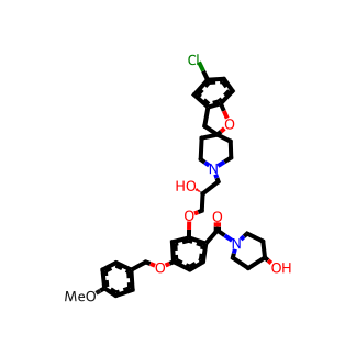 COc1ccc(COc2ccc(C(=O)N3CCC(O)CC3)c(OC[C@H](O)CN3CCC4(CC3)Cc3cc(Cl)ccc3O4)c2)cc1